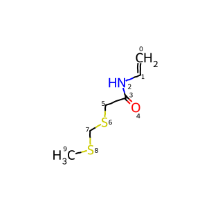 C=CNC(=O)CSCSC